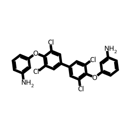 Nc1cccc(Oc2c(Cl)cc(-c3cc(Cl)c(Oc4cccc(N)c4)c(Cl)c3)cc2Cl)c1